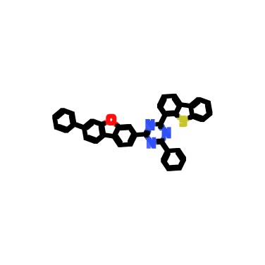 c1ccc(-c2ccc3c(c2)oc2cc(-c4nc(-c5ccccc5)nc(-c5cccc6c5sc5ccccc56)n4)ccc23)cc1